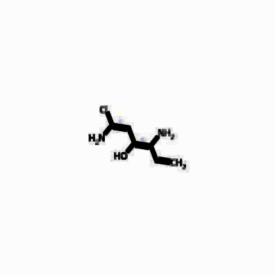 C=C/C(N)=C(O)/C=C(\N)Cl